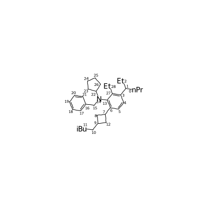 CCCC(CC)c1ccc(C2CC(CC(C)CC)C2)c(N(Cc2ccccc2)C2CCCC2)c1CC